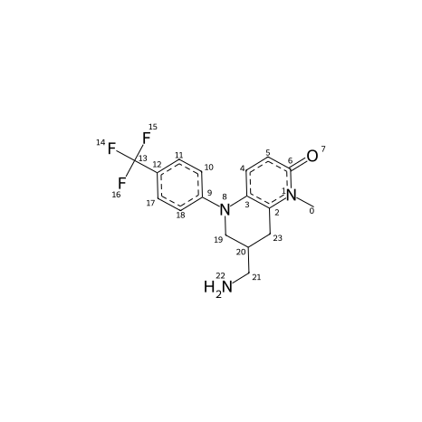 Cn1c2c(ccc1=O)N(c1ccc(C(F)(F)F)cc1)CC(CN)C2